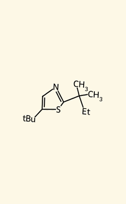 CCC(C)(C)c1ncc(C(C)(C)C)s1